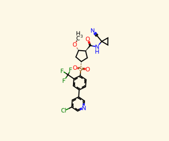 CO[C@H]1C[C@@H](S(=O)(=O)c2ccc(-c3cncc(Cl)c3)cc2C(F)(F)F)C[C@@H]1C(=O)NC1(C#N)CC1